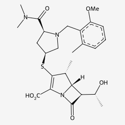 COc1cccc(C)c1CN1C[C@@H](SC2=C(C(=O)O)N3C(=O)[C@H]([C@@H](C)O)[C@H]3[C@H]2C)C[C@H]1C(=O)N(C)C